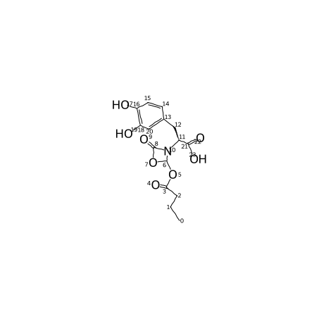 CCCC(=O)OC1OC(=O)N1[C@@H](Cc1ccc(O)c(O)c1)C(=O)O